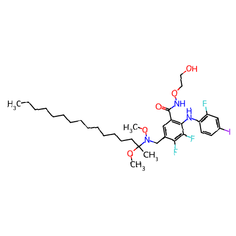 CCCCCCCCCCCCCCC(C)(OC)N(Cc1cc(C(=O)NOCCO)c(Nc2ccc(I)cc2F)c(F)c1F)OC